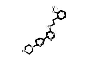 COc1ccccc1CCNc1cc(-c2ccc(N3CCNCC3)nc2)ncn1